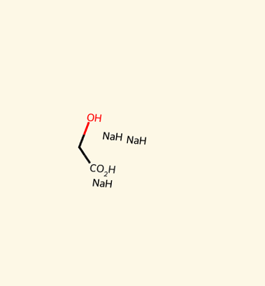 O=C(O)CO.[NaH].[NaH].[NaH]